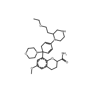 CCOCCC1CNCCN1C1=CCC(c2cc(OC)cc3c2OC(C(N)=O)CC3)(N2CCOCC2)C=C1